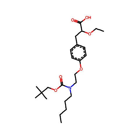 CCCCCN(CCOc1ccc(CC(OCC)C(=O)O)cc1)C(=O)OCC(C)(C)C